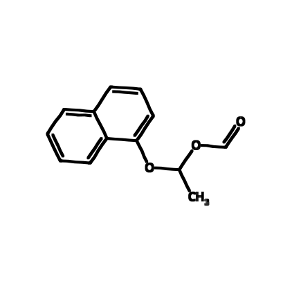 CC(OC=O)Oc1cccc2ccccc12